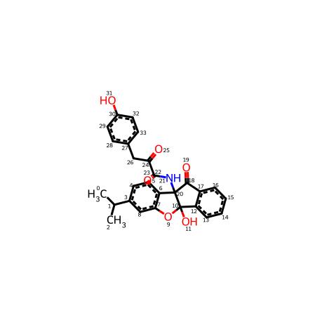 CC(C)c1ccc2c(c1)OC1(O)c3ccccc3C(=O)C21NC(=O)C(=O)Cc1ccc(O)cc1